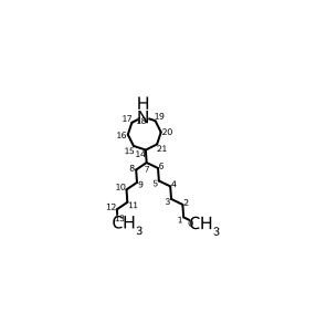 CCCCCCCC(CCCCCC)C1CCCNCCC1